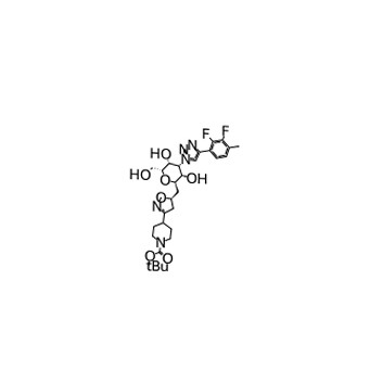 Cc1ccc(-c2cn([C@H]3[C@@H](O)[C@@H](CO)O[C@H](C[C@H]4CC(C5CCN(C(=O)OC(C)(C)C)CC5)=NO4)[C@@H]3O)nn2)c(F)c1F